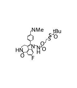 CNCc1ccc(-c2c3c4c(cc(F)cc4n2CNC(=O)OCCSSC(=O)C(C)(C)C)C(=O)NCC3)cc1